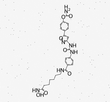 NC(=O)Oc1ccc(-c2cc(NC(=O)Nc3ccc(C(=O)NCCCCCCC(=O)NO)cc3)no2)cc1